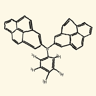 [2H]c1c([2H])c([2H])c(N(c2cc3ccc4cccc5ccc(c2)c3c45)c2cc3ccc4cccc5ccc(c2)c3c45)c([2H])c1[2H]